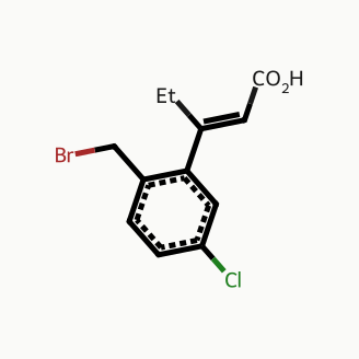 CC/C(=C\C(=O)O)c1cc(Cl)ccc1CBr